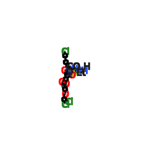 CCNc1nc(C)c(S(=O)(=O)N2Cc3cc4c(cc3C[C@H]2C(=O)NC(Cc2ccc(-c3ccc(Cl)cc3)cc2)C(=O)O)OC[C@H](c2ccc(OCc3ccc(Cl)c(Cl)c3)cc2)O4)s1